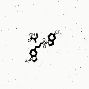 CC(=O)N1CCc2cc(C=CCS(=O)(=O)n3ccc4cc(C(F)(F)F)ccc43)ccc21.CCC(C)C(=O)O